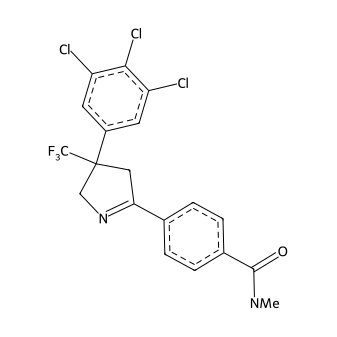 CNC(=O)c1ccc(C2=NCC(c3cc(Cl)c(Cl)c(Cl)c3)(C(F)(F)F)C2)cc1